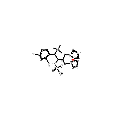 C[N+](C)(C)C(c1ccc(F)cc1F)C(OP(=O)([O-])O)C(Cn1cncn1)Cn1cncn1